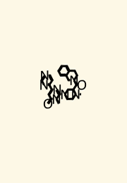 CN1CCN(c2nc(-c3ccncn3)cc(=O)n2C)CC1C(=O)N1CCc2ccccc2C1